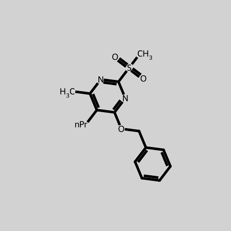 CCCc1c(C)nc(S(C)(=O)=O)nc1OCc1ccccc1